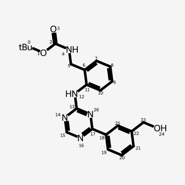 CC(C)(C)OC(=O)NCc1ccccc1Nc1ncnc(-c2cccc(CO)c2)n1